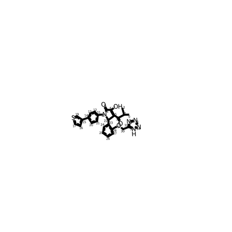 CC(C)C(=O)C1=C(O)C(=O)N(c2ccc(-c3ccsc3)cc2)C1c1ccccc1OCc1nnn[nH]1